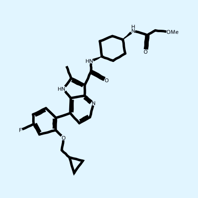 COCC(=O)N[C@H]1CC[C@@H](NC(=O)c2c(C)[nH]c3c(-c4ccc(F)cc4OCC4CC4)ccnc23)CC1